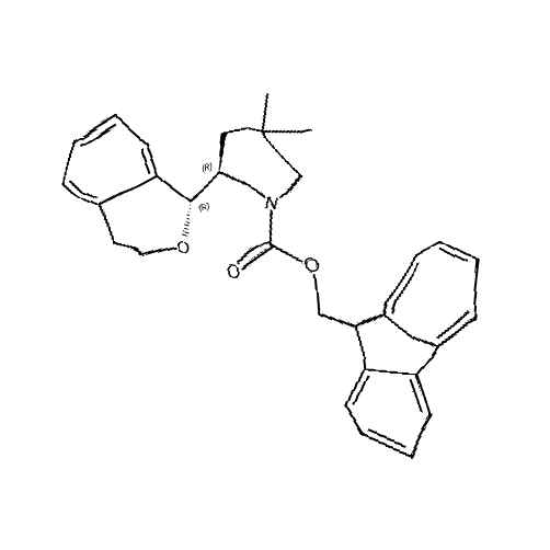 CC1(C)C[C@H]([C@@H]2OCCc3ccccc32)N(C(=O)OCC2c3ccccc3-c3ccccc32)C1